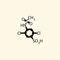 CS(=O)(=O)Nc1cc(Cl)c(S(=O)(=O)O)cc1Cl